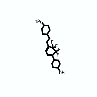 CCCC1CCC(CCC2=CC=C(C3CCC(CCC)CC3)C(F)(F)C2(F)F)CC1